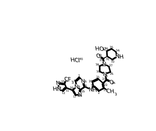 Cc1cc(Nc2nccn3c(-c4c[nH]nc4C(F)(F)F)cnc23)ccc1C(=O)N1CCN(C(=O)[C@@H]2CNCC[C@H]2O)CC1.Cl